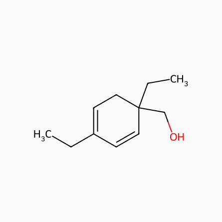 CCC1=CCC(CC)(CO)C=C1